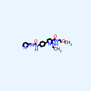 CCNc1nc(-c2ccc(NC(=O)NCc3cccnc3)cc2)ccc1C(=O)NCCOC